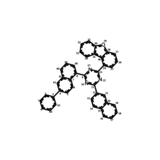 c1ccc(-c2ccc3c(-c4nc(-c5ccc6ccccc6c5)nc(-c5cccc6oc7ccccc7c56)n4)cccc3c2)cc1